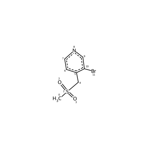 CS(=O)(=O)Cc1ccncc1Br